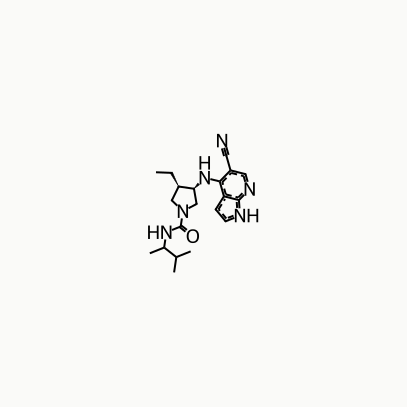 CC[C@@H]1CN(C(=O)NC(C)C(C)C)C[C@@H]1Nc1c(C#N)cnc2[nH]ccc12